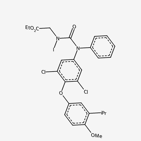 CCOC(=O)CN(I)C(=O)N(c1ccccc1)c1cc(Cl)c(Oc2ccc(OC)c(C(C)C)c2)c(Cl)c1